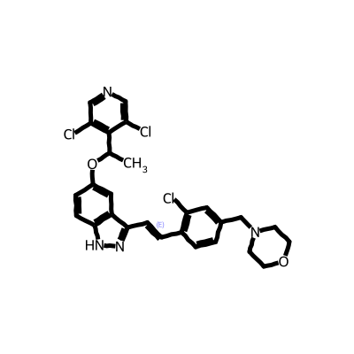 CC(Oc1ccc2[nH]nc(/C=C/c3ccc(CN4CCOCC4)cc3Cl)c2c1)c1c(Cl)cncc1Cl